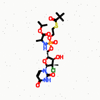 CC(C)OC(=O)C(C)NP(=O)(OCCSC(=O)C(C)(C)C)OC[C@H]1O[C@@H](n2ccc(=O)[nH]c2=O)[C@](C)(Cl)[C@@H]1O